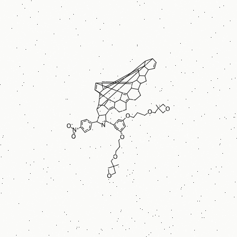 CC1(COCCCOc2cc(OCCCOCC3(C)COC3)cc(C3=NC(c4ccc([N+](=O)[O-])cc4)C4C3C3=C5CCC6=C7CCC8C9C7=C7C%10=C%11C%12=C%13C%14C(C=CC%15C%16CC8C8C9=C%10C%12=C(C%15%14)C%168)C4C%13C3C%11C5C67)c2)COC1